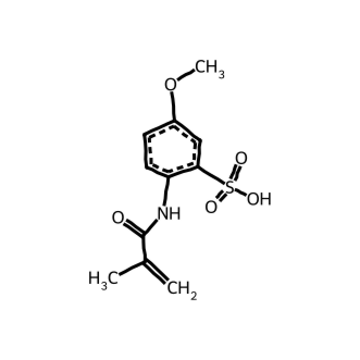 C=C(C)C(=O)Nc1ccc(OC)cc1S(=O)(=O)O